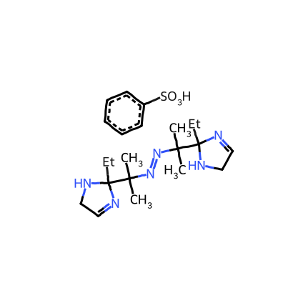 CCC1(C(C)(C)N=NC(C)(C)C2(CC)N=CCN2)N=CCN1.O=S(=O)(O)c1ccccc1